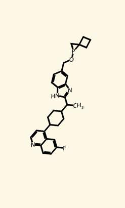 CC(c1nc2cc(COP3CC34CCC4)ccc2[nH]1)C1CCC(c2ccnc3ccc(F)cc23)CC1